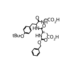 CC(C)(C)Oc1ccc(CC(NC(=O)[C@H](CC(=O)O)NC(=O)OCc2ccccc2)C(=O)NCC(=O)O)cc1